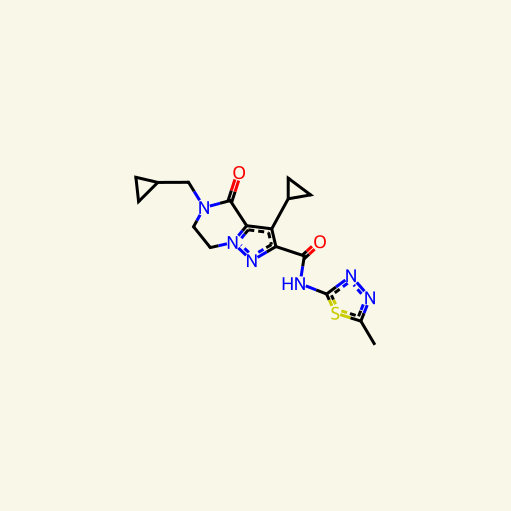 Cc1nnc(NC(=O)c2nn3c(c2C2CC2)C(=O)N(CC2CC2)CC3)s1